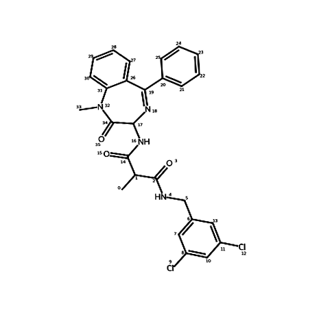 CC(C(=O)NCc1cc(Cl)cc(Cl)c1)C(=O)NC1N=C(c2ccccc2)c2ccccc2N(C)C1=O